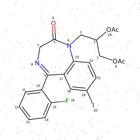 CC(=O)OCC(CN1C(=O)CN=C(c2ccccc2F)c2cc(I)ccc21)OC(C)=O